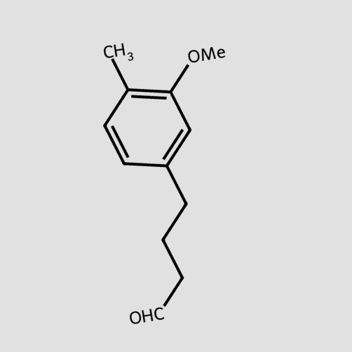 COc1cc(CCCC=O)ccc1C